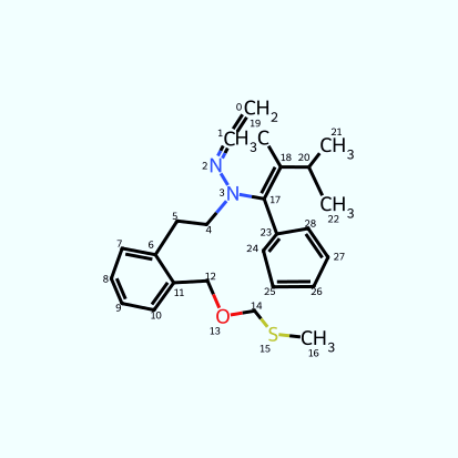 C=C=NN(CCc1ccccc1COCSC)/C(=C(\C)C(C)C)c1ccccc1